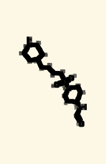 O=CNC1CCN(S(=O)(=O)CCCCC2CCNCC2)CC1